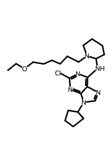 CCOCCCCCCN1CCCCC1Nc1nc(Cl)nc2c1ncn2C1CCCC1